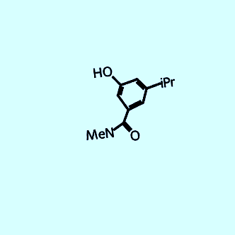 CNC(=O)c1cc(O)cc(C(C)C)c1